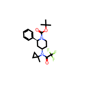 CC(C)(C)OC(=O)N1CC[C@@H](N(C(=O)C(F)(F)F)C2(C)CC2)C[C@H]1c1ccccc1